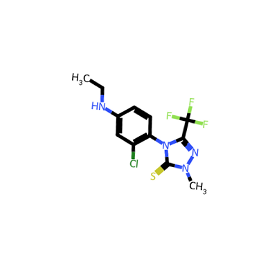 CCNc1ccc(-n2c(C(F)(F)F)nn(C)c2=S)c(Cl)c1